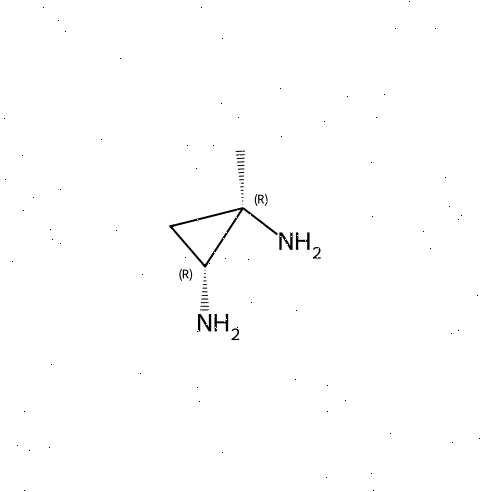 C[C@@]1(N)C[C@H]1N